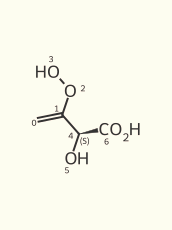 C=C(OO)[C@H](O)C(=O)O